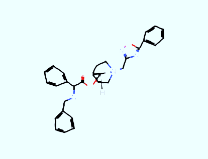 O=C(O[C@H]1C[N+]2(Cc3noc(-c4ccccc4)n3)CCC1CC2)C(NCc1ccccc1)c1ccccc1